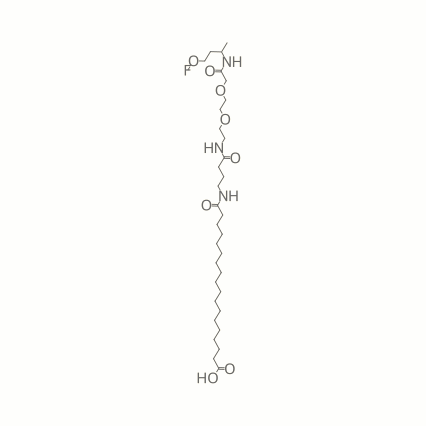 CC(CCOF)NC(=O)COCCOCCNC(=O)CCCNC(=O)CCCCCCCCCCCCCCCCC(=O)O